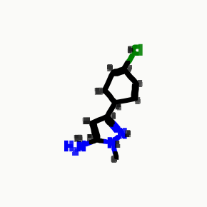 Cn1nc(C2C=CC(Cl)=CC2)cc1N